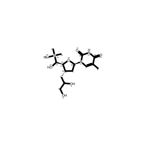 Cc1cn([C@H]2C[C@H](CC(O)CO)[C@@H](C(O)[Si](C)(C)C(C)(C)C)O2)c(=O)[nH]c1=O